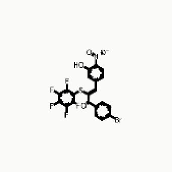 O=C(C(=Cc1ccc([N+](=O)[O-])c(O)c1)Sc1c(F)c(F)c(F)c(F)c1F)c1ccc(Br)cc1